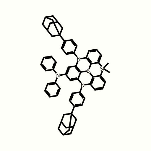 C[Si]1(C)c2cccc3c2B2c4c(cc(N(c5ccccc5)c5ccccc5)cc4N(c4ccc(C56CC7CC(CC(C7)C5)C6)cc4)c4cccc1c42)N3c1ccc(C23CC4CC(CC(C4)C2)C3)cc1